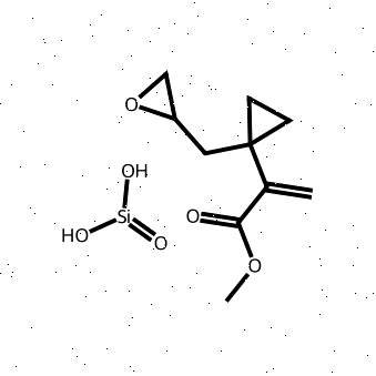 C=C(C(=O)OC)C1(CC2CO2)CC1.O=[Si](O)O